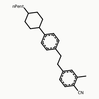 CCCCCC1CCC(c2ccc(CCc3ccc(C#N)c(C)c3)cc2)CC1